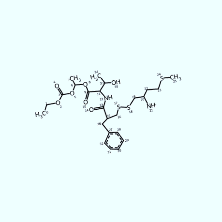 CCOC(=O)OC(C)OC(=O)C(NC(=O)C(CSSCC([NH])CCSC)Cc1ccccc1)C(C)O